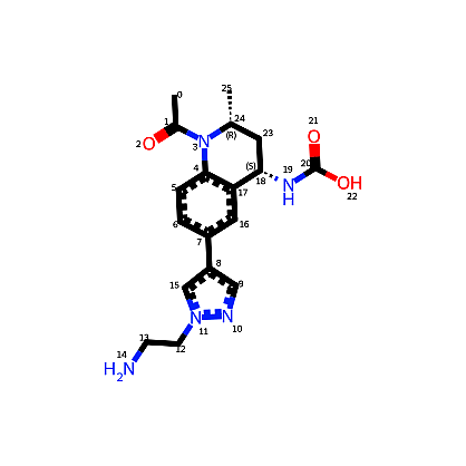 CC(=O)N1c2ccc(-c3cnn(CCN)c3)cc2[C@@H](NC(=O)O)C[C@H]1C